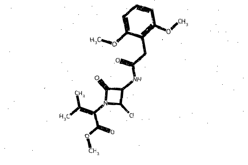 COC(=O)C(=C(C)C)N1C(=O)C(NC(=O)Cc2c(OC)cccc2OC)C1Cl